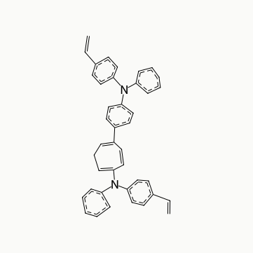 C=Cc1ccc(N(C2=CCC=C(c3ccc(N(c4ccccc4)c4ccc(C=C)cc4)cc3)C=C2)c2ccccc2)cc1